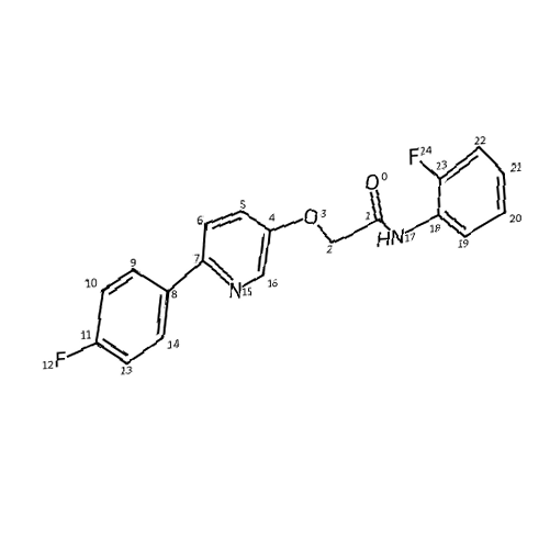 O=C(COc1ccc(-c2ccc(F)cc2)nc1)Nc1ccccc1F